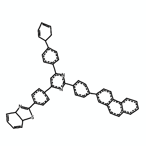 C1=CCC(c2ccc(-c3cc(-c4ccc(C5=NC6C=CC=CC6S5)cc4)nc(-c4ccc(-c5ccc6c(ccc7ccccc76)c5)cc4)n3)cc2)C=C1